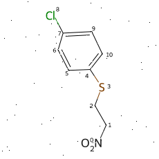 O=[N+]([O-])CCSc1ccc(Cl)cc1